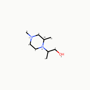 CC(CO)N1CCN(C)CC1C